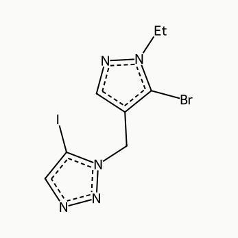 CCn1ncc(Cn2nncc2I)c1Br